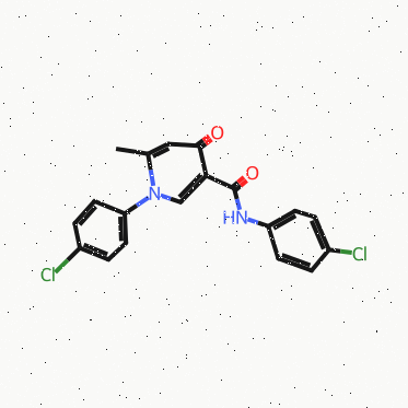 Cc1cc(=O)c(C(=O)Nc2ccc(Cl)cc2)cn1-c1ccc(Cl)cc1